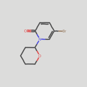 O=c1ccc(Br)cn1C1CCCCO1